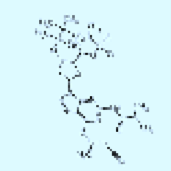 CC(C)C(=O)Nc1nc(O[C@H](C)CC#N)c2ncn([C@H]3C[C@H](O[Si](C)(C)C(C)(C)C)[C@@H](CO[P@@](=O)(Cl)N(C)C)O3)c2n1